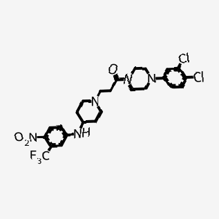 O=C(CCN1CCC(Nc2ccc([N+](=O)[O-])c(C(F)(F)F)c2)CC1)N1CCN(c2ccc(Cl)c(Cl)c2)CC1